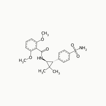 COc1cccc(OC)c1C(=O)N[C@H]1[C@H](c2ccc(S(N)(=O)=O)cc2)C1(C)C